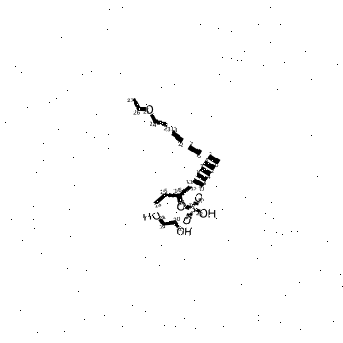 C=C.C=C.C=C.C=C.C=C.C=C.C=C.CCC(C)OS(=O)(=O)O.CCOCC.OCCO